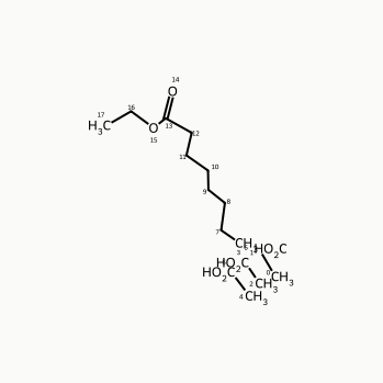 CC(=O)O.CC(=O)O.CC(=O)O.CCCCCCCC(=O)OCC